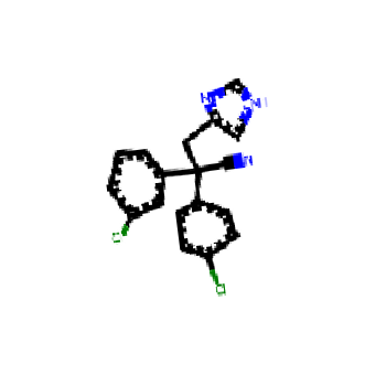 N#CC(Cc1c[nH]cn1)(c1ccc(Cl)cc1)c1cccc(Cl)c1